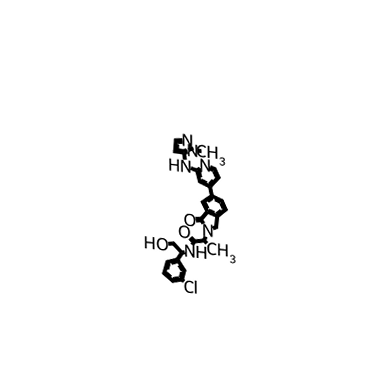 CC(C(=O)NC(CO)c1cccc(Cl)c1)N1Cc2ccc(-c3ccnc(Nc4ccnn4C)c3)cc2C1=O